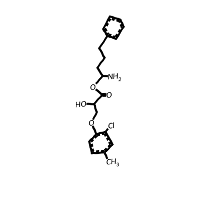 Cc1ccc(OCC(O)C(=O)OC(N)CCCc2ccccc2)c(Cl)c1